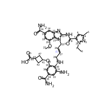 CCn1nc(C)cc1C(=O)Nc1nc2cc(C(N)=O)cc(OC)c2n1C/C=C/CNc1c(N)cc(C(N)=O)cc1OC1CC(C(=O)O)C1